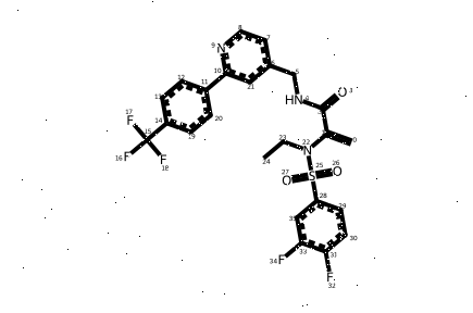 C=C(C(=O)NCc1ccnc(-c2ccc(C(F)(F)F)cc2)c1)N(CC)S(=O)(=O)c1ccc(F)c(F)c1